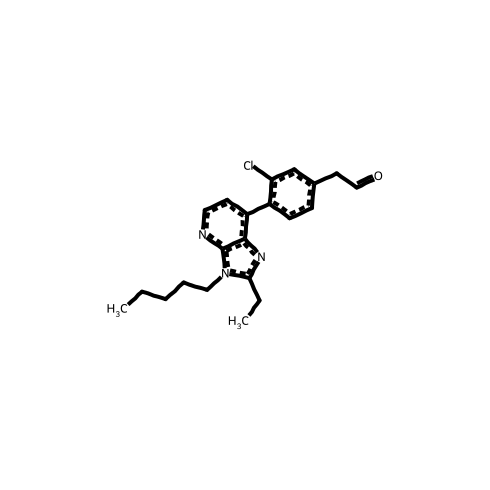 CCCCCn1c(CC)nc2c(-c3ccc(CC=O)cc3Cl)ccnc21